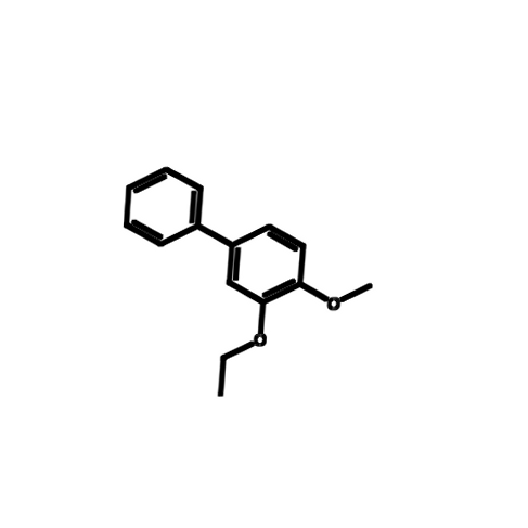 CCOc1cc(-c2ccccc2)ccc1OC